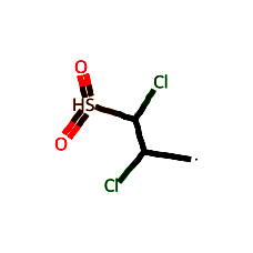 [CH2]C(Cl)C(Cl)[SH](=O)=O